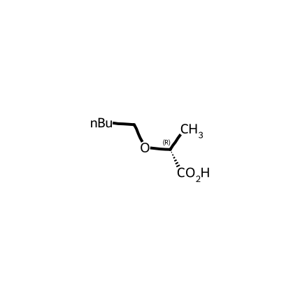 CCCCCO[C@H](C)C(=O)O